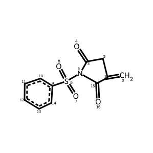 C=C1CC(=O)N(S(=O)(=O)c2ccccc2)C1=O